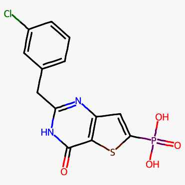 O=c1[nH]c(Cc2cccc(Cl)c2)nc2cc(P(=O)(O)O)sc12